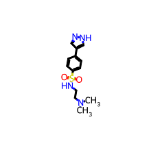 CN(C)CCNS(=O)(=O)c1ccc(-c2cn[nH]c2)cc1